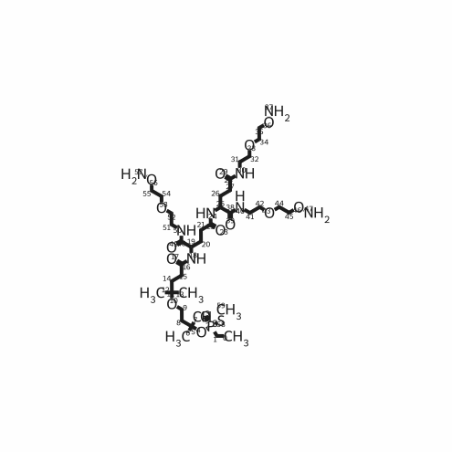 CCP(=O)(OC(C)(C)CCOC(C)(C)CCC(=O)NC(CCC(=O)NC(CCC(=O)NCCOCCON)C(=O)NCCOCCON)C(=O)NCCOCCON)SC